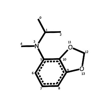 CC(C)N(C)c1cccc2c1OCO2